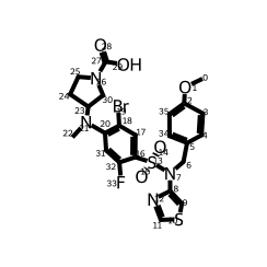 COc1ccc(CN(c2cscn2)S(=O)(=O)c2cc(Br)c(N(C)C3CCN(C(=O)O)C3)cc2F)cc1